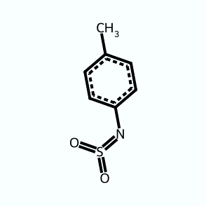 Cc1ccc(N=S(=O)=O)cc1